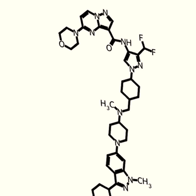 CN(CC1CCC(n2cc(NC(=O)c3cnn4ccc(N5CCOCC5)nc34)c(C(F)F)n2)CC1)C1CCN(c2ccc3c(C4CCC(=O)NC4=O)nn(C)c3c2)CC1